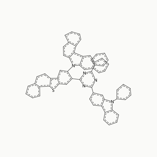 c1ccc(-c2nc(-c3ccc4c5ccccc5n(-c5ccccc5)c4c3)nc(-c3cc4sc5c6ccccc6ccc5c4cc3-n3c4cc5ccccc5cc4c4c5ccccc5ccc43)n2)cc1